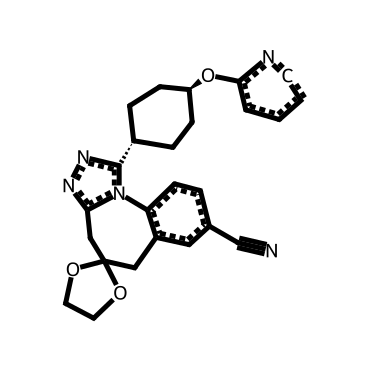 N#Cc1ccc2c(c1)CC1(Cc3nnc([C@H]4CC[C@H](Oc5ccccn5)CC4)n3-2)OCCO1